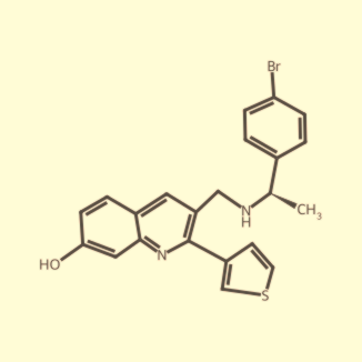 C[C@@H](NCc1cc2ccc(O)cc2nc1-c1ccsc1)c1ccc(Br)cc1